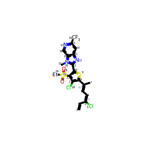 C=C/C(Cl)=C\C=C(/C)c1sc(-c2nc3cc(C(F)(F)F)ncc3n2C)c(S(=O)(=O)CC)c1Cl